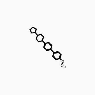 FC(F)(F)Oc1ccc(-c2ccc(C3CCC(C4CCCC4)CC3)cc2)cc1